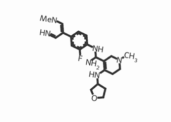 CN/C=C(\C=N)c1ccc(NC(N)C2=C(NC3CCOC3)CCN(C)C2)c(F)c1